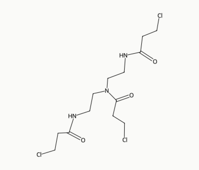 O=C(CCCl)NCCN(CCNC(=O)CCCl)C(=O)CCCl